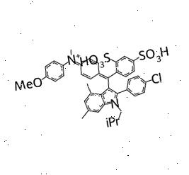 COc1ccc([N+](C)=C2C=CC(=C(c3ccc(S(=O)(=O)O)cc3S(=O)(=O)O)c3c(-c4ccc(Cl)cc4)n(CC(C)C)c4cc(C)cc(C)c34)C=C2)cc1